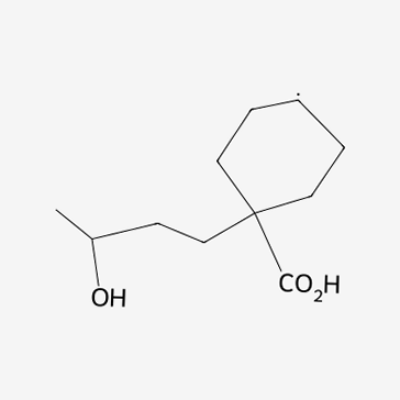 CC(O)CCC1(C(=O)O)CC[CH]CC1